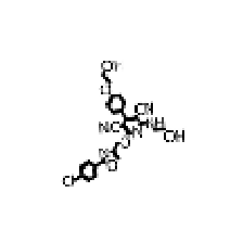 N#Cc1c(NCCO)nc(OCc2coc(-c3ccc(Cl)cc3)n2)c(C#N)c1-c1ccc(OCCO)cc1